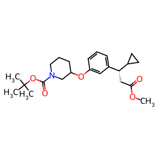 COC(=O)C[C@H](c1cccc(OC2CCCN(C(=O)OC(C)(C)C)C2)c1)C1CC1